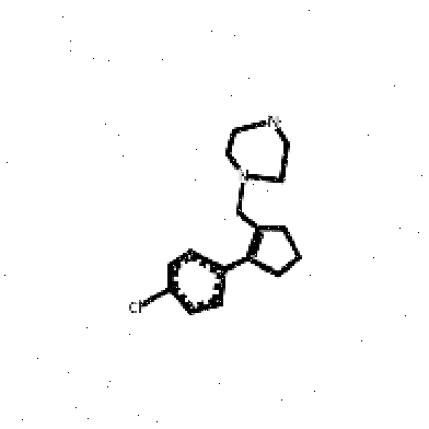 Clc1ccc(C2=C(CN3CC[N]CC3)CCC2)cc1